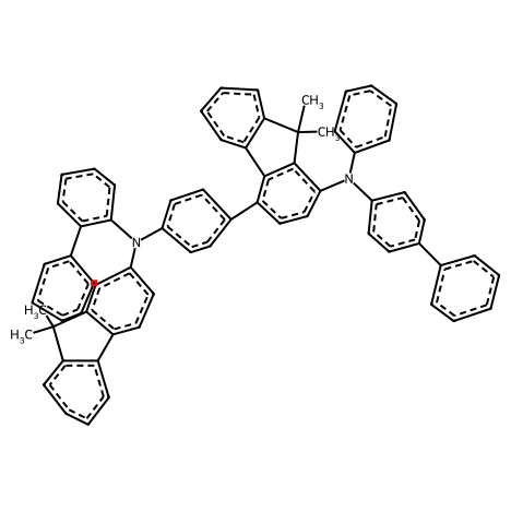 CC1(C)c2ccccc2-c2ccc(N(c3ccc(-c4ccc(N(c5ccccc5)c5ccc(-c6ccccc6)cc5)c5c4-c4ccccc4C5(C)C)cc3)c3ccccc3-c3ccccc3)cc21